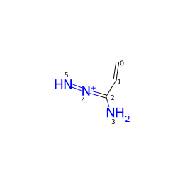 C=CC(N)=[N+]=N